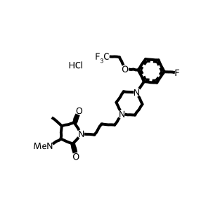 CNC1C(=O)N(CCCN2CCN(c3cc(F)ccc3OCC(F)(F)F)CC2)C(=O)C1C.Cl